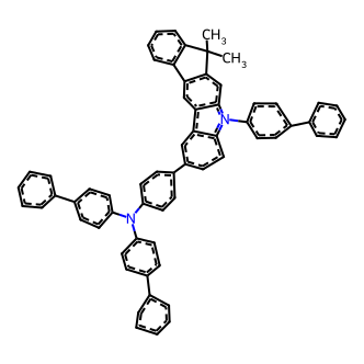 CC1(C)c2ccccc2-c2cc3c4cc(-c5ccc(N(c6ccc(-c7ccccc7)cc6)c6ccc(-c7ccccc7)cc6)cc5)ccc4n(-c4ccc(-c5ccccc5)cc4)c3cc21